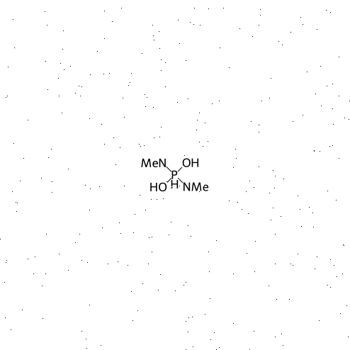 CN[PH](O)(O)NC